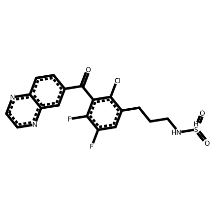 O=C(c1ccc2nccnc2c1)c1c(F)c(F)cc(CCCN[SH](=O)=O)c1Cl